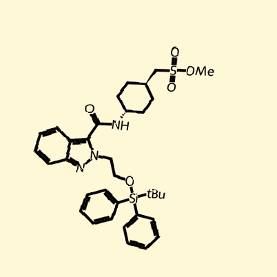 COS(=O)(=O)C[C@H]1CC[C@H](NC(=O)c2c3ccccc3nn2CCO[Si](c2ccccc2)(c2ccccc2)C(C)(C)C)CC1